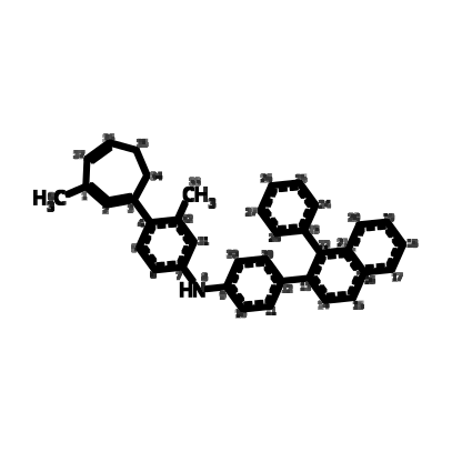 CC1=C=C(c2ccc(Nc3ccc(-c4ccc5ccccc5c4-c4ccccc4)cc3)cc2C)CCC=C1